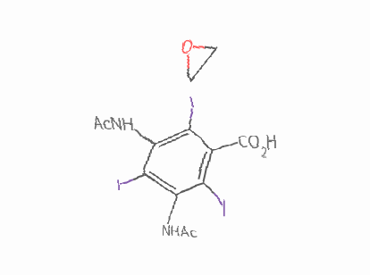 C1CO1.CC(=O)Nc1c(I)c(NC(C)=O)c(I)c(C(=O)O)c1I